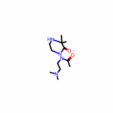 CC(=O)N(CCN(C)C)N1CCNC(C)(C)C1=O